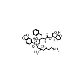 CC(C)(CCCCN)CN(C[C@H](O)[C@H](Cc1ccccc1)NC(=O)O[C@H]1CO[C@H]2OCC[C@H]21)S(=O)(=O)c1ccc2c(c1)OCO2